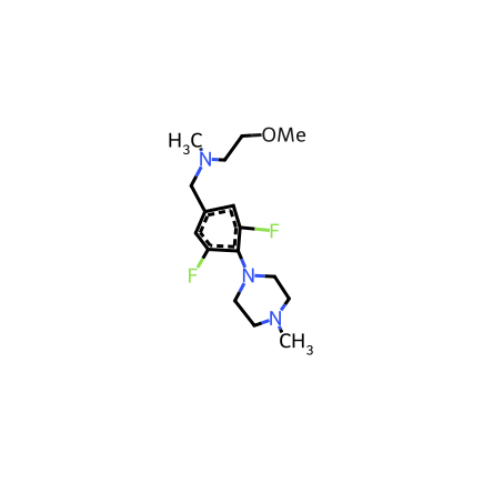 COCCN(C)Cc1cc(F)c(N2CCN(C)CC2)c(F)c1